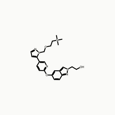 C[Si](C)(C)CCOCn1nccc1-c1ccc(Oc2ccc3nn(CCO)cc3c2)nc1